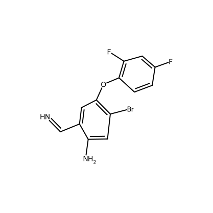 N=Cc1cc(Oc2ccc(F)cc2F)c(Br)cc1N